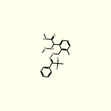 CNC(=O)C(NOC)c1cccc(C)c1CO/N=C(/c1ccccc1)C(F)(F)F